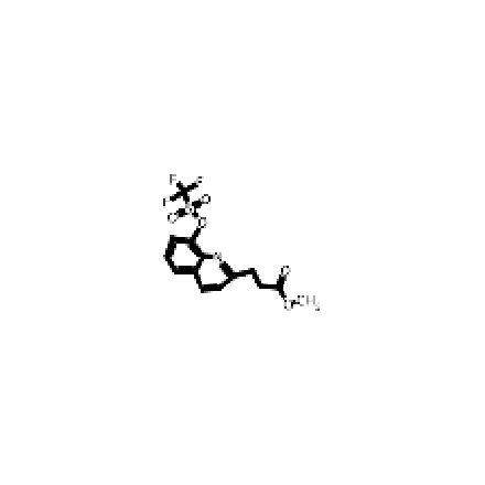 COC(=O)CCc1ccc2cccc(OS(=O)(=O)C(F)(F)F)c2n1